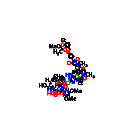 CC1COc2ccccc2N1C(=O)C(Cl)Cl.CCNc1nc(Cl)nc(NC(C)C)n1.CCc1ccc(COc2ccc(-n3c(=O)cc(C(F)(F)F)n(C)c3=O)cc2)c(OC(C)C(=O)OC)c1.COc1cc(OC)nc(NC(=O)NS(=O)(=O)c2ncccc2C(=O)N(C)C)n1.O=C(O)CNCP(=O)(O)O